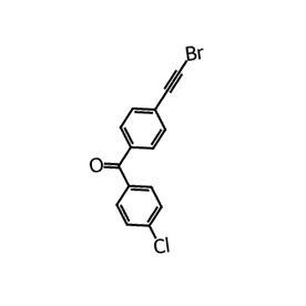 O=C(c1ccc(Cl)cc1)c1ccc(C#CBr)cc1